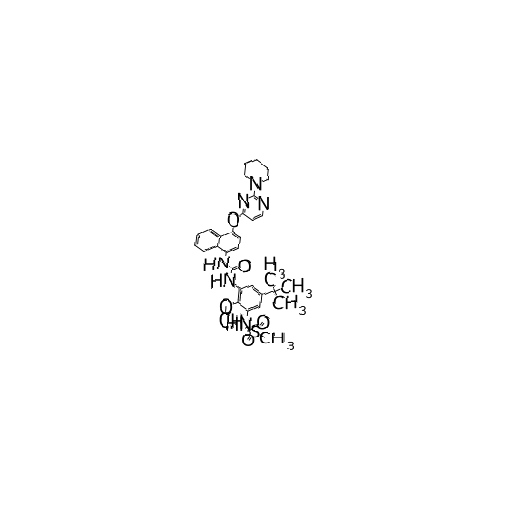 COc1c(NC(=O)Nc2ccc(Oc3ccnc(N4CCCCC4)n3)c3ccccc23)cc(C(C)(C)C)cc1NS(C)(=O)=O